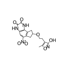 Cc1onc(O)c1CCOC1Cc2c([N+](=O)[O-])cc3[nH]c(=O)c(=O)[nH]c3c2C1